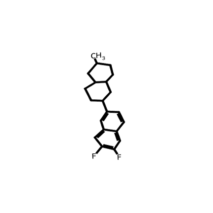 CC1CCC2CC(c3ccc4cc(F)c(F)cc4c3)CCC2C1